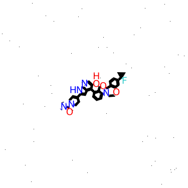 CN(C)C(=O)N1CC=C(c2cc3c(-c4cccc(N5CCOc6cc(C7(F)CC7)ccc6C5=O)c4CO)ccnc3[nH]2)CC1